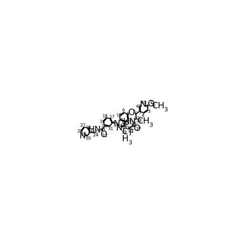 COc1ccc([C@@H](Oc2ccc3c(cnn3-c3cccc(C(=O)NCc4cccnc4)c3)c2)[C@H](C)NC(=O)C(C)(F)F)cn1